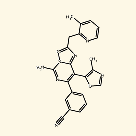 Cc1cccnc1Cc1nc2c(-c3ocnc3C)c(-c3cccc(C#N)c3)nc(N)n2n1